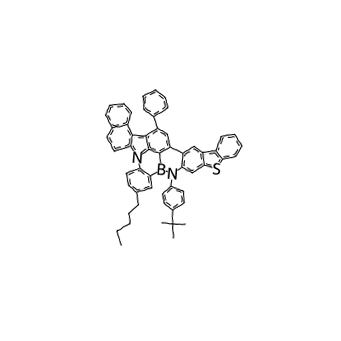 CCCCCc1ccc2c(c1)B1c3c(cc(-c4ccccc4)c4c5c6ccccc6ccc5n-2c34)-c2cc3c(cc2N1c1ccc(C(C)(C)C)cc1)sc1ccccc13